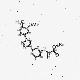 COc1cc(-n2cc(-c3cccc(CNC(=O)OC(C)(C)C)c3)nn2)ccc1C